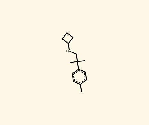 Cc1ccc(C(C)(C)CNC2CCC2)cc1